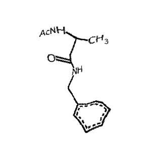 CC(=O)NC(C)C(=O)NCc1ccccc1